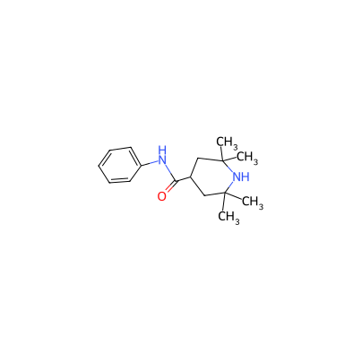 CC1(C)CC(C(=O)Nc2ccccc2)CC(C)(C)N1